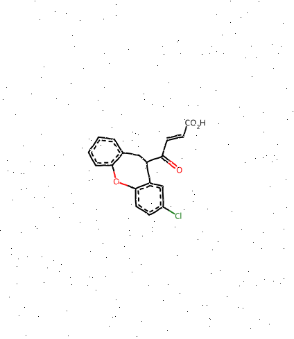 O=C(O)/C=C/C(=O)C1Cc2ccccc2Oc2ccc(Cl)cc21